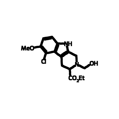 CCOC(=O)C1Cc2c([nH]c3ccc(OC)c(Cl)c23)CN1CO